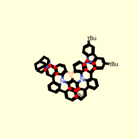 CC(C)(C)c1cc2c3c(c1)N(c1c(-c4ccccc4)cccc1-c1ccccc1)c1cc(-n4c5ccc(C(C)(C)C)cc5c5cc(C(C)(C)C)ccc54)ccc1B3c1ccc(N3C4CC5CC(C4)CC3C5)cc1N2c1c(-c2ccccc2)cccc1-c1ccccc1